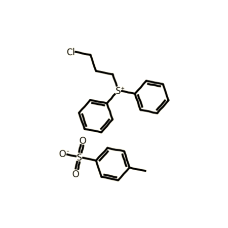 Cc1ccc(S(=O)(=O)[O-])cc1.ClCCC[S+](c1ccccc1)c1ccccc1